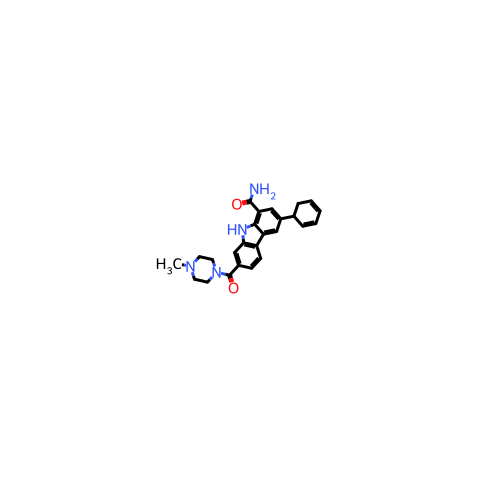 CN1CCN(C(=O)c2ccc3c(c2)[nH]c2c(C(N)=O)cc(C4C=CC=CC4)cc23)CC1